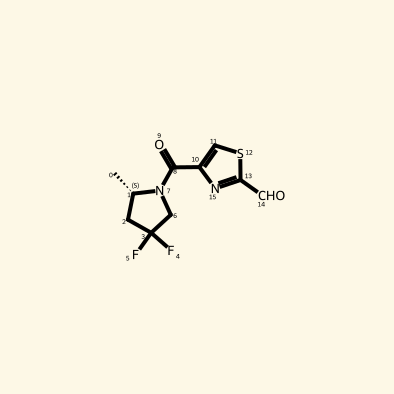 C[C@H]1CC(F)(F)CN1C(=O)c1csc(C=O)n1